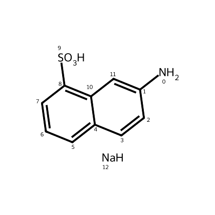 Nc1ccc2cccc(S(=O)(=O)O)c2c1.[NaH]